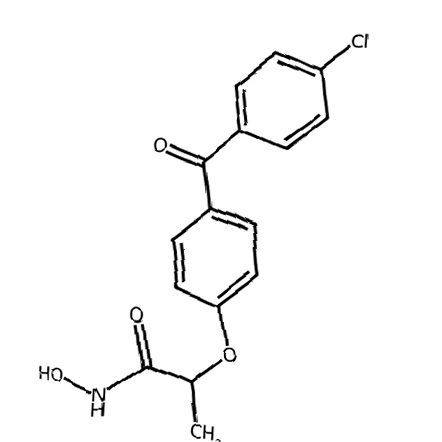 CC(Oc1ccc(C(=O)c2ccc(Cl)cc2)cc1)C(=O)NO